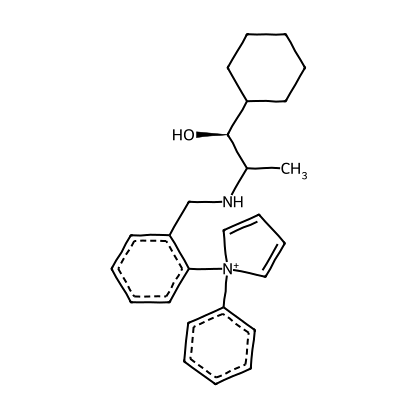 CC(NCc1ccccc1[N+]1(c2ccccc2)C=CC=C1)[C@@H](O)C1CCCCC1